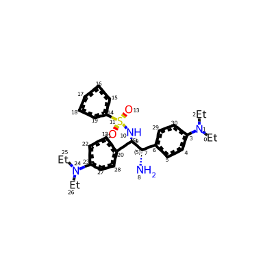 CCN(CC)c1ccc([C@H](N)[C@@H](NS(=O)(=O)c2ccccc2)c2ccc(N(CC)CC)cc2)cc1